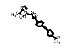 CC(=O)c1ccc(C#Cc2ccc(-c3cc(Cn4ccnc4C(C)O)no3)cc2)cc1